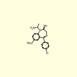 COc1ccc2c(c1)C(c1ccc(Cl)cc1)=NCC(=N)N2C(C)N